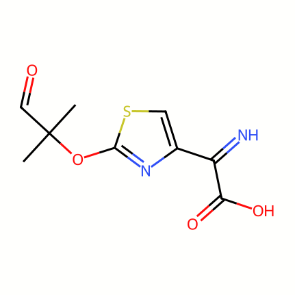 CC(C)(C=O)Oc1nc(C(=N)C(=O)O)cs1